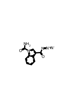 [N-]=[N+]=NC(=O)c1cn(C(N)=O)c2ccccc12